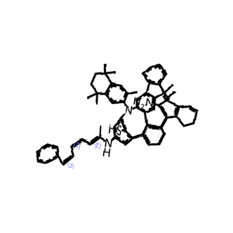 C\C(=C/C=C\C=C/c1ccccc1)Nc1cc2c(S)c(c1)N(c1cc3c(cc1C)C(C)(C)CCC3(C)C)c1cc3c(cc1C1=C(C4=C(N)C(C)(C)C5=C4CCC=C5)CCC=C12)C(C)(C)c1ccccc1-3